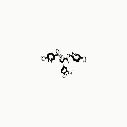 COc1ccc(C(=O)N2C[C@H]([C@H](C)Oc3ccc(Cl)cn3)[C@@H](c3ccc(Cl)c(Cl)c3)C2)cn1